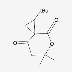 CC1(C)CC(=O)C2(CC2C(C)(C)C)C(=O)O1